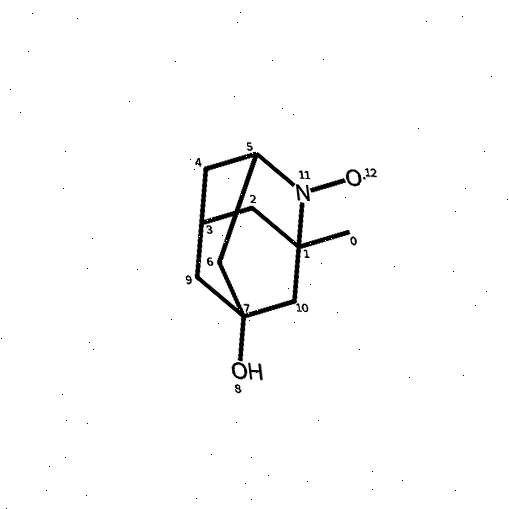 CC12CC3CC(CC(O)(C3)C1)N2[O]